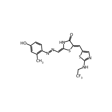 Cc1cc(O)ccc1N=NC=c1[nH]c(=O)c(=Cc2cnc(NCC(F)(F)F)s2)s1